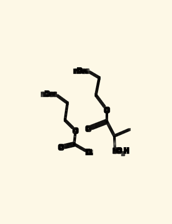 CCCCCCCCCCCCOC(=O)C(C)S(=O)(=O)O.CCCCCCCCCCCCOC(=O)CC